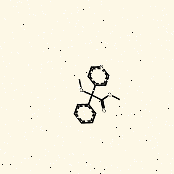 COC(=O)C(OC)(c1ccccc1)c1ccncc1